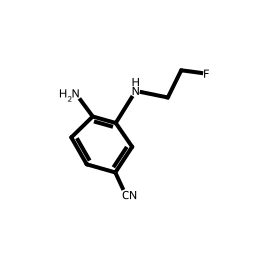 N#Cc1ccc(N)c(NCCF)c1